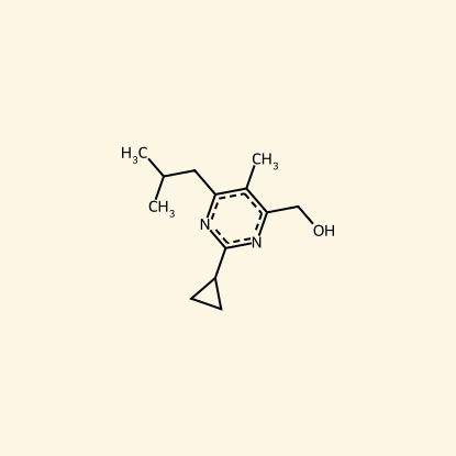 Cc1c(CO)nc(C2CC2)nc1CC(C)C